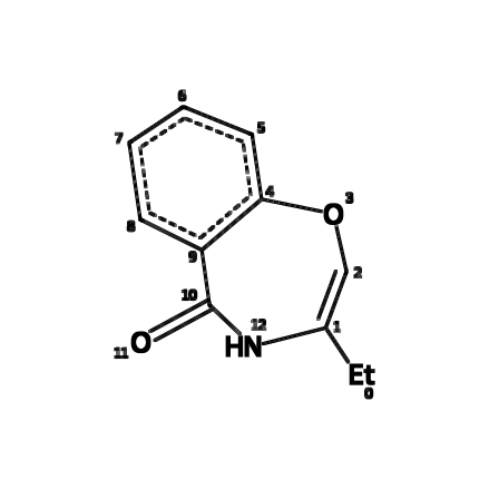 CCC1=COc2ccccc2C(=O)N1